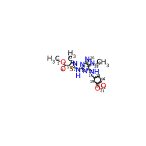 CCOC(=O)c1sc(Nc2nc(NCc3ccc4c(c3)OCO4)c3c(ncn3CC)n2)nc1C